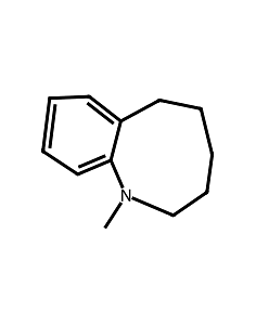 CN1CCCCCc2ccccc21